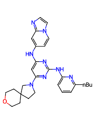 CCCCc1cccc(Nc2nc(Nc3ccn4ccnc4c3)cc(N3CCC4(CCOCC4)C3)n2)n1